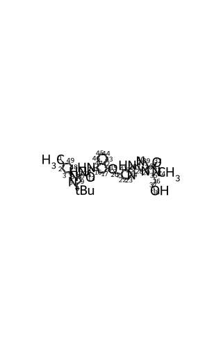 Cc1ccc(-n2nc(C(C)(C)C)cc2NC(=O)Nc2ccc(OCc3ccnc(Nc4cnc(C(=O)N(C)CCCO)cn4)c3)c3ccccc23)cc1